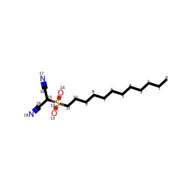 CCCCCCCCCCCCS(=O)(=O)C(C#N)C#N